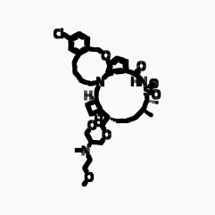 COCCN(C)[C@H]1CO[C@H]([C@H]2CCC[C@H](C)[C@@H](C)S(=O)(=O)NC(=O)c3ccc4c(c3)N(CCCCc3cc(Cl)ccc3CO4)C[C@@H]3CC[C@H]32)OC1